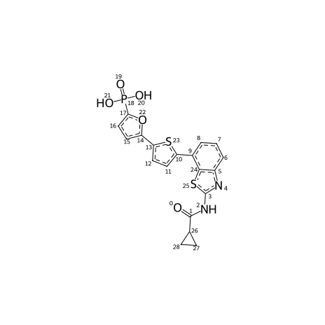 O=C(Nc1nc2cccc(-c3ccc(-c4ccc(P(=O)(O)O)o4)s3)c2s1)C1CC1